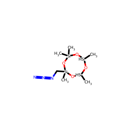 C[SiH]1O[SiH](C)O[Si](C)(CN=[N+]=[N-])O[Si](C)(C)O1